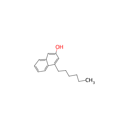 CCCCCCc1cc(O)cc2ccccc12